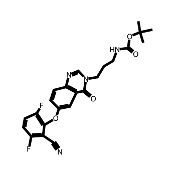 CC(C)(C)OC(=O)NCCCn1cnc2ccc(Oc3c(F)ccc(F)c3C#N)cc2c1=O